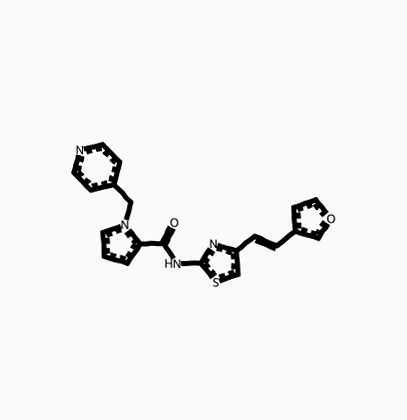 O=C(Nc1nc(C=Cc2ccoc2)cs1)c1cccn1Cc1ccncc1